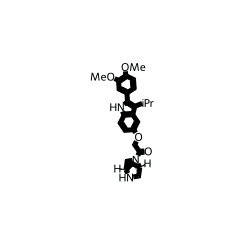 COc1ccc(-c2[nH]c3ccc(OCC(=O)N4C[C@H]5C[C@@H]4CN5)cc3c2C(C)C)cc1OC